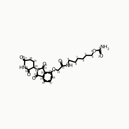 NC(=O)OCCCCCCNC(=O)COc1cccc2c1C(=O)N(C1CCC(=O)NC1=O)C2=O